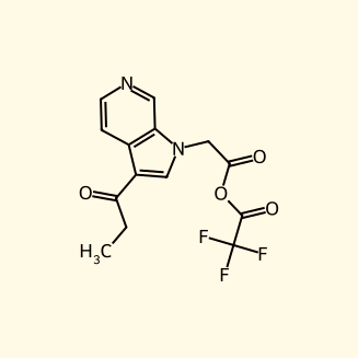 CCC(=O)c1cn(CC(=O)OC(=O)C(F)(F)F)c2cnccc12